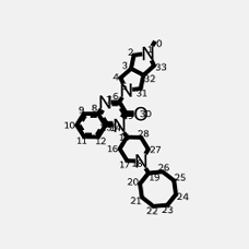 CN1CC2CN(c3nc4ccccc4n(C4CCN(C5CCCCCCC5)CC4)c3=O)CC2C1